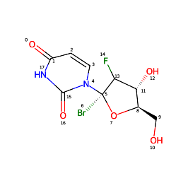 O=c1ccn([C@]2(Br)O[C@H](CO)[C@@H](O)C2F)c(=O)[nH]1